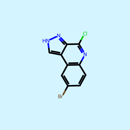 Clc1nc2ccc(Br)cc2c2c[nH]nc12